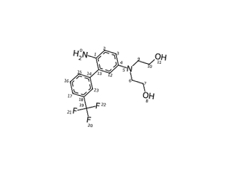 Nc1ccc(N(CCO)CCO)cc1-c1cccc(C(F)(F)F)c1